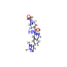 Cc1ncc(-c2ccc3cnc(NC(=O)C4CCN(C5COC5)CC4)cc3c2)n1C